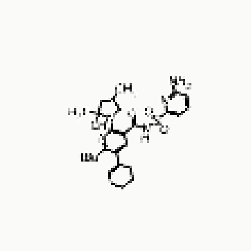 CC1CN(c2nc(C(C)(C)C)c(C3=CCCCC3)cc2C(=O)NS(=O)(=O)c2cccc(N)n2)C(C)(C)C1